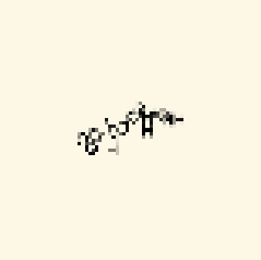 COc1ccc(-c2[nH]c3ccc(OCC(=O)NC[C@H]4CCNC4)cc3c2C(C)C)cc1OC